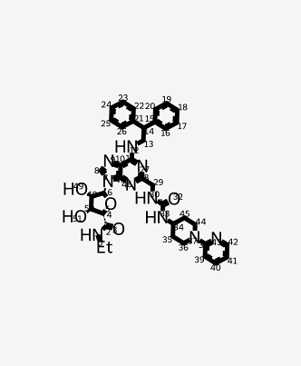 CCNC(=O)[C@H]1O[C@@H](n2cnc3c(NCC(c4ccccc4)c4ccccc4)nc(CNC(=O)NC4CCN(c5ccccn5)CC4)nc32)[C@H](O)[C@@H]1O